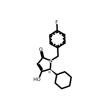 O=C1C=C(O)[C@H](C2CCCCC2)N1Cc1ccc(F)cc1